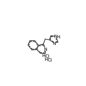 Cl.Cl.c1ccc2c(Cc3c[nH]cn3)nccc2c1